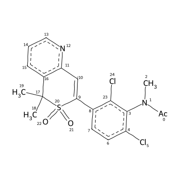 CC(=O)N(C)c1c(Cl)ccc(C2=[C]c3ncccc3C(C)(C)S2(=O)=O)c1Cl